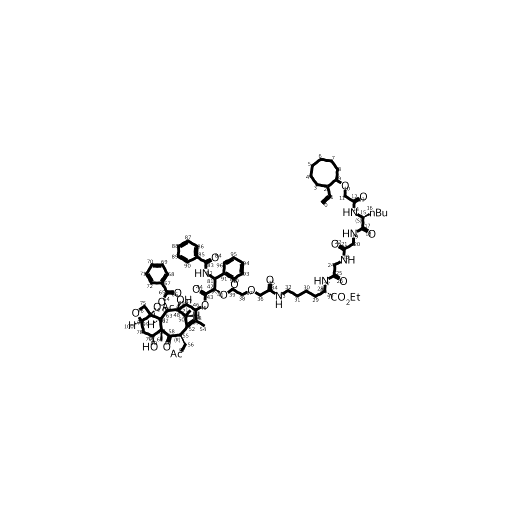 C=CC1CCCCCCC1OCC(=O)N[C@@H](CCCC)C(=O)NCC(=O)NCC(=O)N[C@@H](CCCCNC(=O)COCC(=O)O[C@@H](C(=O)OC1C[C@]2(O)[C@H](C)C(=C1C)[C@@H](CC(C)=O)C(=O)[C@@]1(C)[C@H]([C@@H]2OC(=O)c2ccccc2)[C@]2(OC(C)=O)CO[C@@H]2C[C@@H]1O)C(NC(=O)c1ccccc1)c1ccccc1)C(=O)OCC